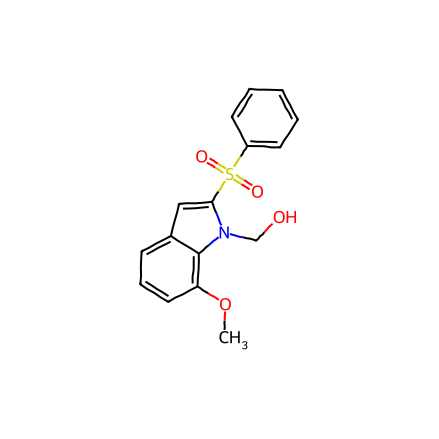 COc1cccc2cc(S(=O)(=O)c3ccccc3)n(CO)c12